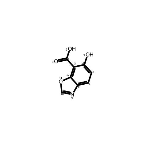 O=C(O)c1c(O)ccc2ncoc12